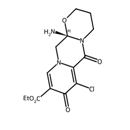 CCOC(=O)c1cn2c(c(Cl)c1=O)C(=O)N1CCCO[C@@]1(N)C2